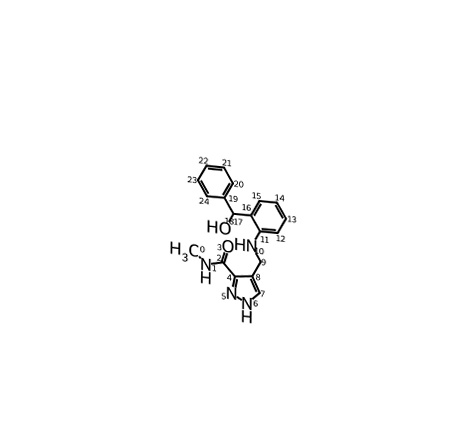 CNC(=O)c1n[nH]cc1CNc1ccccc1C(O)c1ccccc1